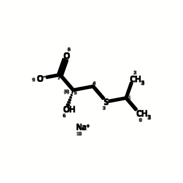 CC(C)SC[C@H](O)C(=O)[O-].[Na+]